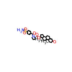 C[C@]12CCC(=O)C=C1CCC1C2CC[C@@]2(C)C1CC[C@@H]2OC(=O)[C@@H]1CCCN1C(=O)c1ccc(S(N)(=O)=O)cc1